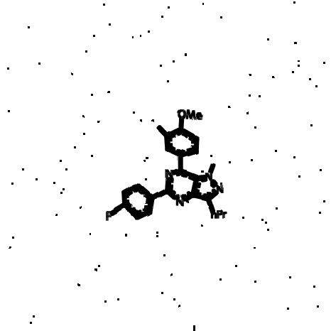 CCCc1nn(C)c2c(-c3ccc(OC)c(C)c3)nc(-c3ccc(F)cc3)nc12